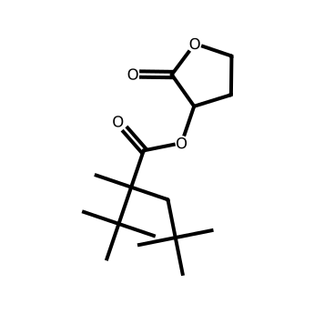 CC(C)(C)CC(C)(C(=O)OC1CCOC1=O)C(C)(C)C